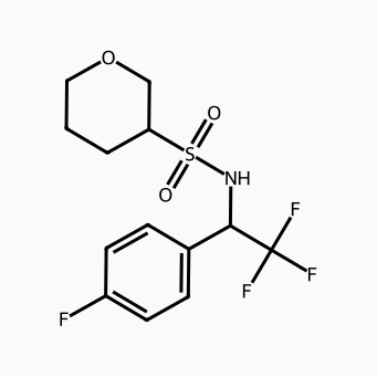 O=S(=O)(NC(c1ccc(F)cc1)C(F)(F)F)C1CCCOC1